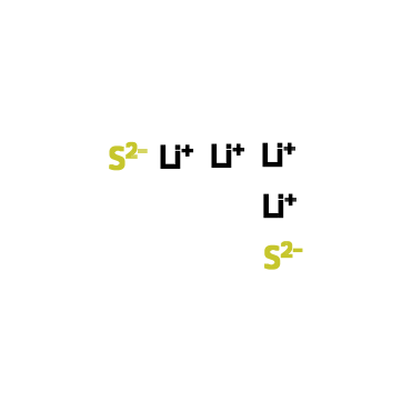 [Li+].[Li+].[Li+].[Li+].[S-2].[S-2]